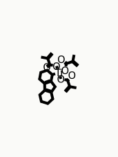 C=C(C)C(=O)[O][Ti]([O]C(=O)C(=C)C)([O]C(=O)C(=C)C)[CH]1CCCC2=C1CC1=C2CCCC1